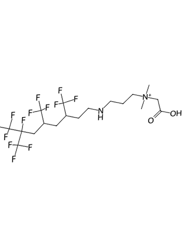 C[N+](C)(CCCNCCC(CC(CC(F)(C(F)(F)F)C(F)(F)F)C(F)(F)F)C(F)(F)F)CC(=O)O